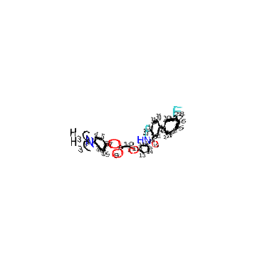 CN(C)c1ccc(OC(=O)COc2cccc(NC(=O)c3cc(-c4cccc(F)c4)ccc3F)c2)cc1